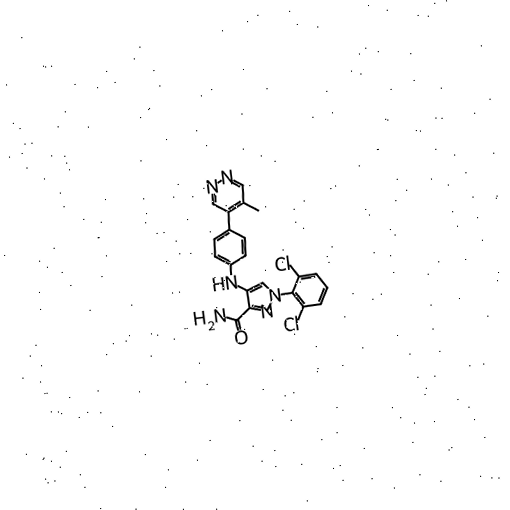 Cc1cnncc1-c1ccc(Nc2cn(-c3c(Cl)cccc3Cl)nc2C(N)=O)cc1